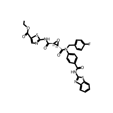 CCOC(=O)c1cnc(NC(=O)[C@H]2O[C@@H]2C(=O)N(Cc2ccc(F)cc2)c2ccc(C(=O)Nc3nc4ccccc4s3)cc2)s1